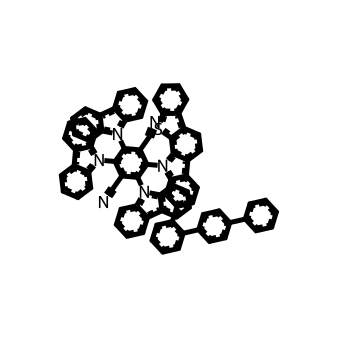 N#Cc1c(-n2c3ccccc3c3ccccc32)c(-n2c3ccccc3c3ccccc32)c(C#N)c(-n2c3cc(-c4ccccc4-c4ccc(-c5ccccc5)cc4)ccc3c3ccc4c5ccccc5sc4c32)c1-n1c2ccccc2c2ccccc21